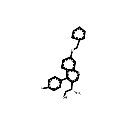 C[C@H](CO)c1cnc2cc(OCc3ccccc3)ccc2c1-c1ccc(F)cc1